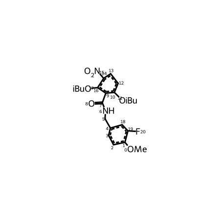 COc1ccc(CNC(=O)c2c(OCC(C)C)ccc([N+](=O)[O-])c2OCC(C)C)cc1F